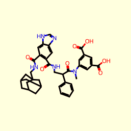 CN(C(=O)C(CNC(=O)c1cc2nc[nH]c2cc1C(=O)NCC12CC3CC(CC(C3)C1)C2)c1ccccc1)c1cc(C(=O)O)cc(C(=O)O)c1